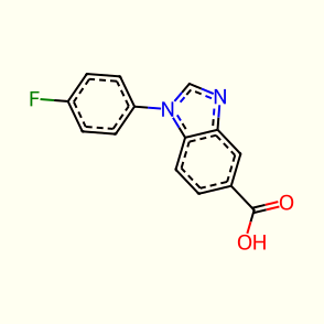 O=C(O)c1ccc2c(c1)ncn2-c1ccc(F)cc1